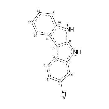 Clc1ccc2c(c1)[nH]c1[nH]c3ccccc3c12